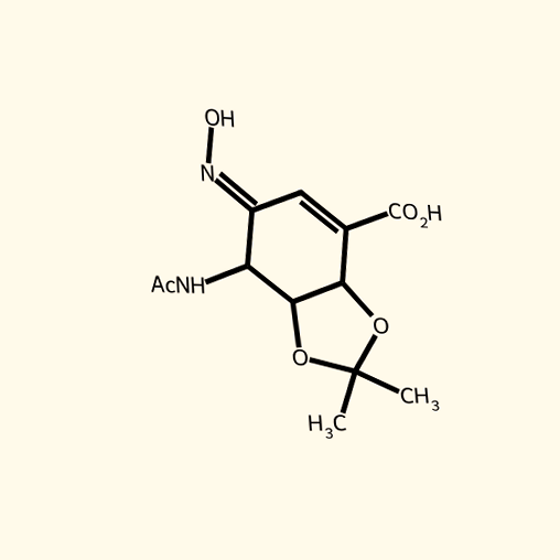 CC(=O)NC1/C(=N/O)C=C(C(=O)O)C2OC(C)(C)OC21